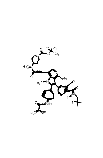 C=C(F)C(=O)Nc1ccc(-c2c(-c3ccc(C(=O)NCC(F)(F)F)c(Cl)c3)c3c(N)ncc(C#CC(=O)N(C)C4CCN(C(=O)OC(C)(C)C)CC4)c3n2C)cc1